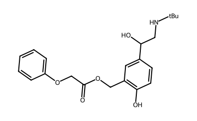 CC(C)(C)NCC(O)c1ccc(O)c(COC(=O)COc2ccccc2)c1